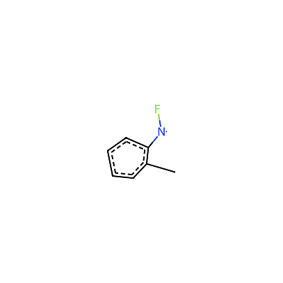 Cc1ccccc1[N]F